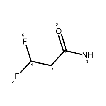 [NH]C(=O)CC(F)F